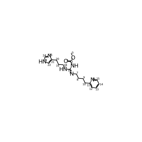 COC(=O)NC(=NCCCCc1ccccn1)NCCCc1c[nH]cn1